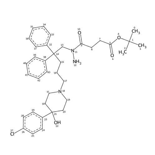 CC(C)(C)OC(=O)CCC(=O)N(N)CC(CCCN1CCC(O)(c2ccc(Cl)cc2)CC1)(c1ccccc1)c1ccccc1